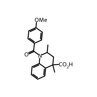 COc1ccc(C(=O)N2c3ccccc3C(C)(C(=O)O)CC2C)cc1